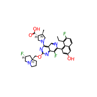 CCc1c(F)ccc2cc(O)cc(-c3ncc4c(N5C[C@H](C(=O)O)[C@@H](C)C5)nc(OC[C@@]56CCCN5C[C@H](F)C6)nc4c3F)c12